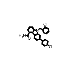 NC(=O)c1cccc2c1c1[c]cc(-c3ccc(Cl)cc3)cc1n2Cc1ccccc1Cl